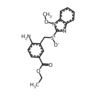 CCOC(=O)c1ccc(N)c(C[S+]([O-])c2nc3ccccc3n2OC)c1